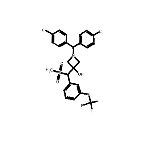 CS(=O)(=O)C(c1cccc(SC(F)(F)F)c1)C1(O)CN(C(c2ccc(Cl)cc2)c2ccc(Cl)cc2)C1